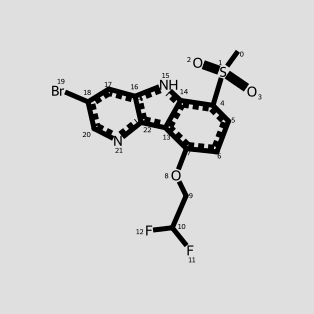 CS(=O)(=O)c1ccc(OCC(F)F)c2c1[nH]c1cc(Br)cnc12